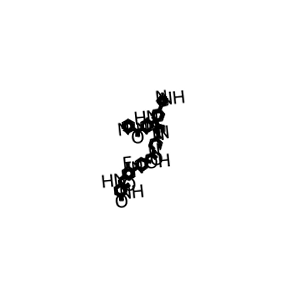 O=C1CCC(Nc2ccc(N3CCC(O)(CC(=O)N4CCC(n5cc(C6(N7CCN(C(=O)c8cccnc8)CC7)C=CC(c7cn[nH]c7)=CN6)cn5)CC4)CC3)c(F)c2)C(=O)N1